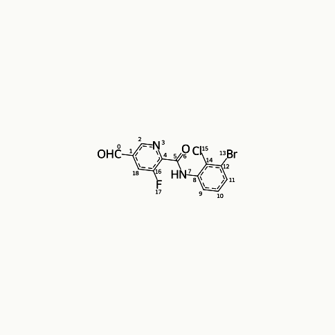 O=Cc1cnc(C(=O)Nc2cccc(Br)c2Cl)c(F)c1